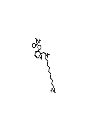 CN(C)CCCCCCCCCCN(C)Cc1ncccc1OC(=O)N(C)C